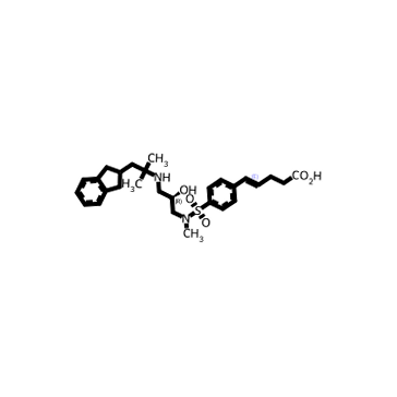 CN(C[C@H](O)CNC(C)(C)CC1Cc2ccccc2C1)S(=O)(=O)c1ccc(/C=C/CCC(=O)O)cc1